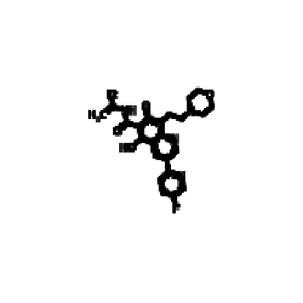 C=C(CC)NC(=O)c1c(O)c2cc(-c3ccc(F)cn3)cnc2n(CCN2CCOCC2)c1=O